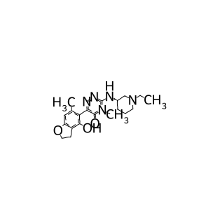 CCN1CCC[C@@H](Nc2nnc(-c3c(C)cc4c(c3O)CCO4)c(=O)n2C)C1